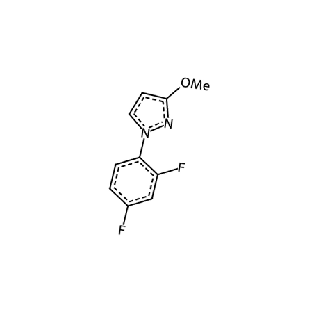 [CH2]Oc1ccn(-c2ccc(F)cc2F)n1